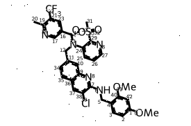 COc1ccc(CNc2nc3cc(CN(C(=O)c4cnc(C)c(C(F)(F)F)c4)c4cccnc4S(C)(=O)=O)ccc3cc2Cl)c(OC)c1